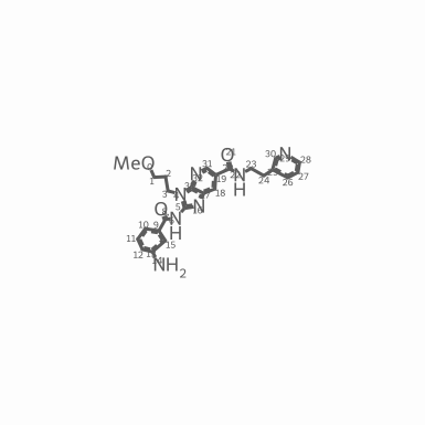 COCCCn1c(NC(=O)c2cccc(N)c2)nc2cc(C(=O)NCCc3cccnc3)cnc21